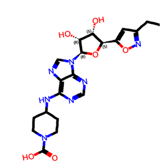 CCc1cc([C@H]2O[C@@H](n3cnc4c(NC5CCN(C(=O)O)CC5)ncnc43)[C@H](O)[C@@H]2O)on1